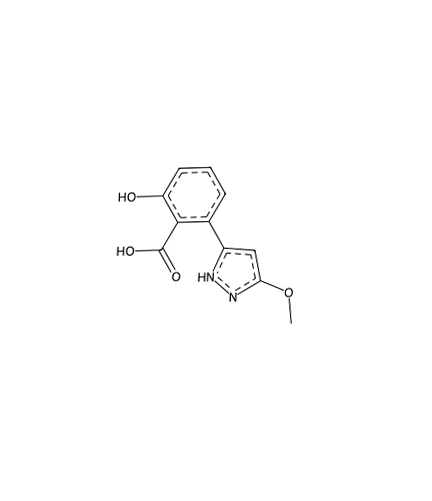 COc1cc(-c2cccc(O)c2C(=O)O)[nH]n1